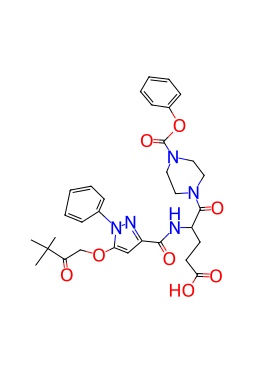 CC(C)(C)C(=O)COc1cc(C(=O)NC(CCC(=O)O)C(=O)N2CCN(C(=O)Oc3ccccc3)CC2)nn1-c1ccccc1